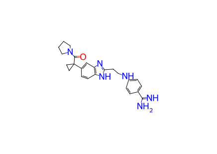 N=C(N)c1ccc(NCCc2nc3cc(C4(C(=O)N5CCCC5)CC4)ccc3[nH]2)cc1